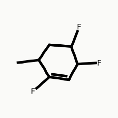 CC1CC(F)C(F)C=C1F